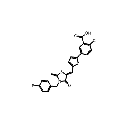 C=c1s/c(=C\c2ccc(-c3ccc(Cl)c(C(=O)O)c3)o2)c(=O)n1Cc1ccc(F)cc1